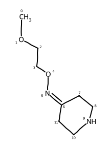 COCCON=C1CCNCC1